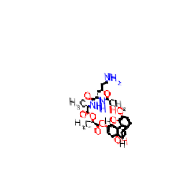 CC(=O)N[C@@H](CCCCN)C(=O)N[C@@H](C)C(=O)O[C@@H](C)C(=O)OC1=CC[C@]2(O)[C@H]3CCC[C@]24c2c(ccc(O)c2O[C@H]14)C3